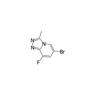 Cc1nnc2c(F)cc(Br)cn12